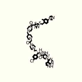 Cc1cc(-n2ccnc2)ccc1CSc1nnc(C(=O)N2CCN(CC3CCN(CC(=O)N4CCN(CC[C@H](NC(=O)C5(N)CCN(c6ncnc7[nH]ccc67)CC5)c5ccc(Cl)cc5)CC4)CC3)CC2)s1